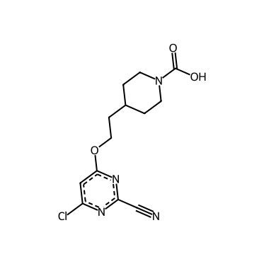 N#Cc1nc(Cl)cc(OCCC2CCN(C(=O)O)CC2)n1